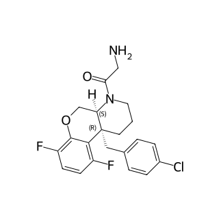 NCC(=O)N1CCC[C@@]2(Cc3ccc(Cl)cc3)c3c(F)ccc(F)c3OC[C@@H]12